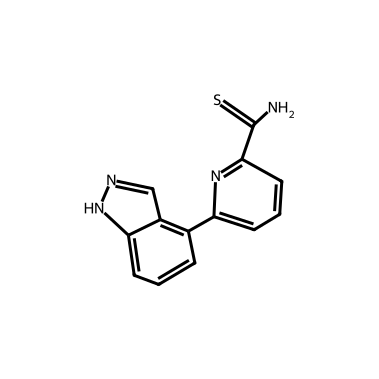 NC(=S)c1cccc(-c2cccc3[nH]ncc23)n1